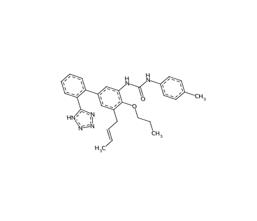 C/C=C/Cc1cc(-c2ccccc2-c2nnn[nH]2)cc(NC(=O)Nc2ccc(C)cc2)c1OCCC